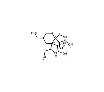 OCC1CCC(CO)(C(O)CO)C(C(O)CO)(C(O)CO)C1